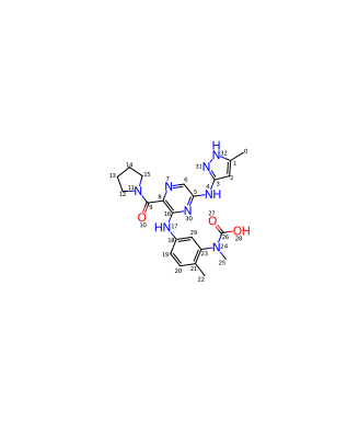 Cc1cc(Nc2cnc(C(=O)N3CCCC3)c(Nc3ccc(C)c(N(C)C(=O)O)c3)n2)n[nH]1